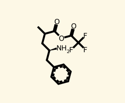 CC(C[C@@H](N)Cc1ccccc1)C(=O)OC(=O)C(F)(F)F